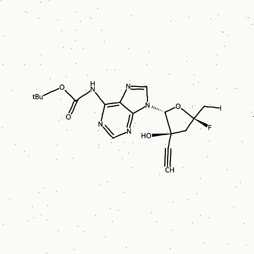 C#C[C@@]1(O)C[C@@](F)(CI)O[C@H]1n1cnc2c(NC(=O)OC(C)(C)C)ncnc21